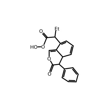 CCC(C(=O)OO)C1=CC=CC2C1=COC(=O)C2c1ccccc1